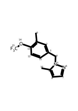 Cc1cc(Cn2nccc2C)ccc1OC(F)(F)F